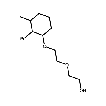 CC(C)C1C(C)CCCC1OCCOCCO